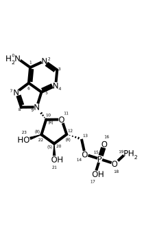 Nc1ncnc2c1ncn2[C@@H]1O[C@H](COP(=O)(O)OP)[C@@H](O)[C@H]1O